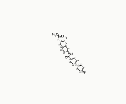 CN(C)C[C@@H]1CCc2cc(NC(=O)c3ccc(-c4ccc(F)cc4)cc3)ccc2C1